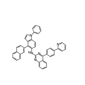 c1ccc(-n2ccc3c(-c4ccc5ccccc5c4)c(Nc4nc(-c5ccc(-c6ccccn6)cc5)c5ccccc5n4)ccc32)cc1